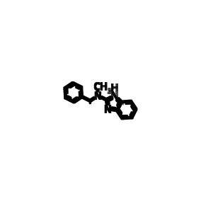 CN([CH]c1ccccc1)c1nc2ccccc2[nH]1